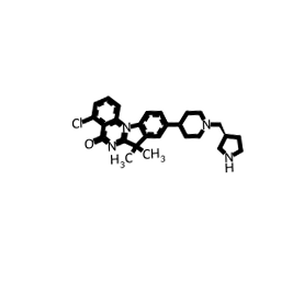 CC1(C)c2cc(C3CCN(C[C@H]4CCNC4)CC3)ccc2-n2c1nc(=O)c1c(Cl)cccc12